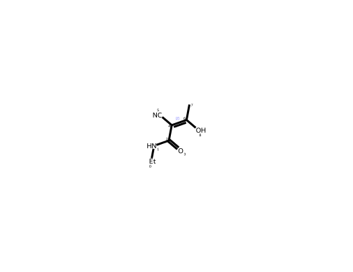 CCNC(=O)/C(C#N)=C(/C)O